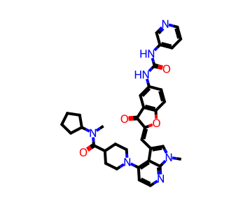 CN(C(=O)C1CCN(c2ccnc3c2c(C=C2Oc4ccc(NC(=O)Nc5cccnc5)cc4C2=O)cn3C)CC1)C1CCCC1